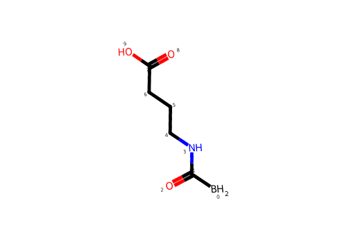 BC(=O)NCCCC(=O)O